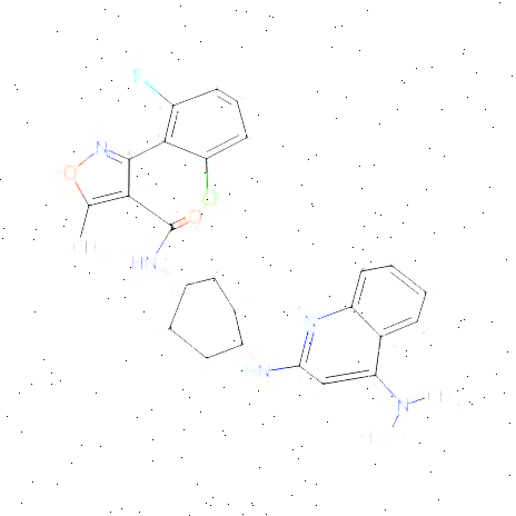 Cc1onc(-c2c(F)cccc2Cl)c1C(=O)N[C@H]1CC[C@@H](Nc2cc(N(C)C)c3ccccc3n2)CC1